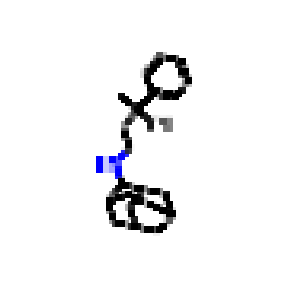 CC(C#N)(CCNC1C2CC3CC(C2)CC1C3)c1ccccc1